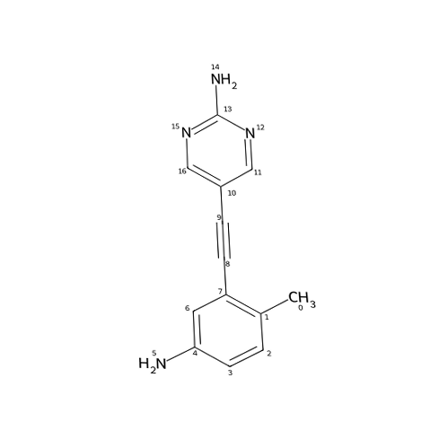 Cc1ccc(N)cc1C#Cc1cnc(N)nc1